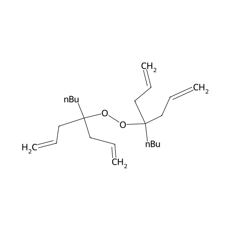 C=CCC(CC=C)(CCCC)OOC(CC=C)(CC=C)CCCC